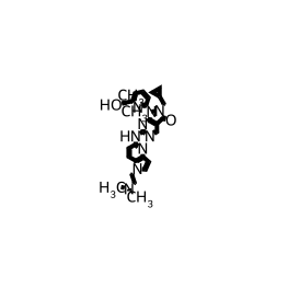 CN(C)CCn1ccc2nc(Nc3ncc4c(=O)n(CC5CC5)n(-c5cccc(C(C)(C)O)n5)c4n3)ccc21